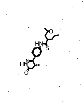 CCCC(CC(C)=O)C(=S)Nc1ccc(C2=NNC(=O)CC2C)cc1